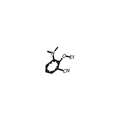 CCOc1c(C#N)cccc1N(C)C